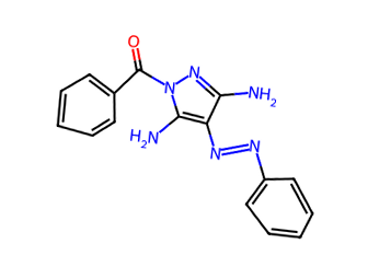 Nc1nn(C(=O)c2ccccc2)c(N)c1/N=N/c1ccccc1